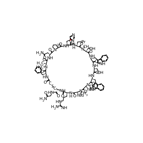 CCCC[C@H]1C(=O)N(C)[C@@H](CCCC)C(=O)N[C@@H](CCCNC(=N)N)C(=O)N[C@H](C(=O)NCC(N)=O)CSCC(=O)N[C@@H](Cc2ccccc2)C(=O)N(C)[C@@H](C)C(=O)N[C@@H](CC(N)=O)C(=O)N2CCC[C@H]2C(=O)N[C@@H](Cc2cnc[nH]2)C(=O)N[C@@H](CC(C)C)C(=O)N(C)[C@@H](CO)C(=O)N[C@@H](Cc2c[nH]c3ccccc23)C(=O)N[C@@H](CO)C(=O)N[C@@H](Cc2c[nH]c3ccccc23)C(=O)N1C